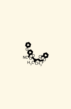 CC1(C)C(C=CC(F)(F)Oc2ccccc2Cl)C1C(=O)OC(C#N)c1cccc(Oc2ccccc2)c1